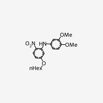 CCCCCCOc1ccc([N+](=O)[O-])c(Nc2ccc(OC)c(OC)c2)c1